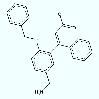 NCc1ccc(OCc2ccccc2)c(/C(=C/C(=O)O)c2ccccc2)c1